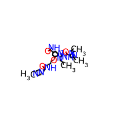 CCCn1c(NC(=O)c2cc(C)nn2CC)nc2cc(C(N)=O)cc(OCCCNC(=O)CN3CCN(C)CC3)c21